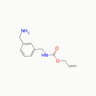 C=CCOC(=O)NCc1cccc(CN)c1